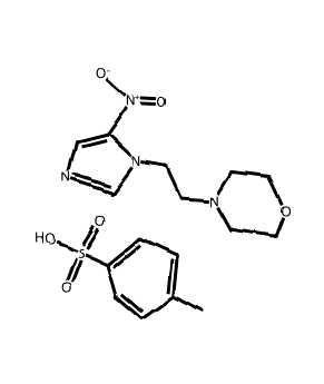 Cc1ccc(S(=O)(=O)O)cc1.O=[N+]([O-])c1cncn1CCN1CCOCC1